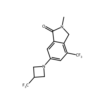 CN1Cc2c(cc(N3CC(C(F)(F)F)C3)cc2C(F)(F)F)C1=O